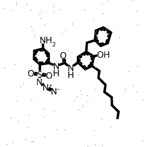 CCCCCCCCc1cc(NC(=O)Nc2cc(N)ccc2S(=O)(=O)N=[N+]=[N-])cc(Cc2ccccc2)c1O